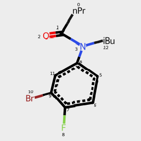 CCCC(=O)N(c1ccc(F)c(Br)c1)C(C)CC